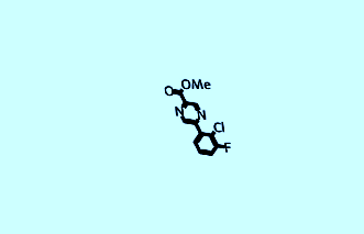 COC(=O)c1cnc(-c2cccc(F)c2Cl)cn1